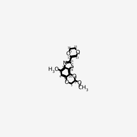 COC1COc2cc(C)c3nc(C4=COCCO4)sc3c2O1